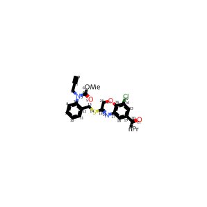 C#CCN(C(=O)OC)c1ccccc1CSC1=Nc2cc(C(=O)CCC)cc(Cl)c2OC1